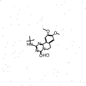 COc1cc2c(cc1OC)-c1nc(NC(C)(C)C)nc(=O)n1CC2.Cl